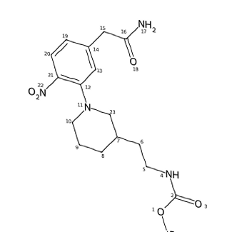 CC(C)(C)OC(=O)NCCC1CCCN(c2cc(CC(N)=O)ccc2[N+](=O)[O-])C1